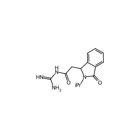 CC(C)N1C(=O)c2ccccc2C1CC(=O)NC(=N)N